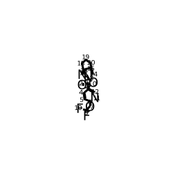 O=S(=O)(c1ccc(OC(F)F)nc1)n1cc2c(n1)CCC2